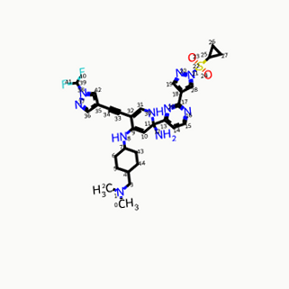 CN(C)CC1CCC(NC2=CC(N)(c3ccnc(-c4cnn(S(=O)(=O)C5CC5)c4)n3)NC=C2C#Cc2cnn(C(F)F)c2)CC1